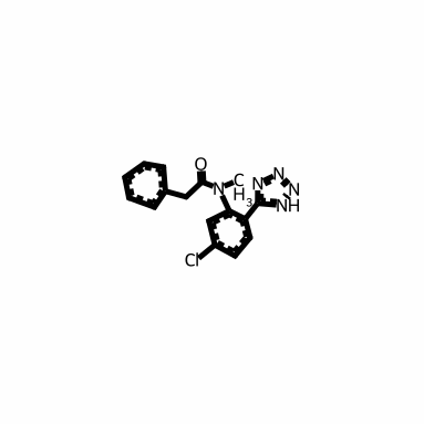 CN(C(=O)Cc1ccccc1)c1cc(Cl)ccc1-c1nnn[nH]1